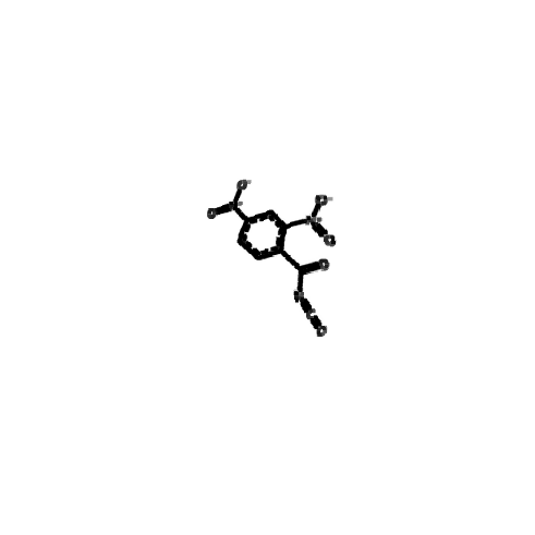 O=C=NC(=O)c1ccc([N+](=O)[O-])cc1[N+](=O)[O-]